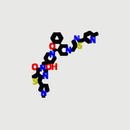 Cc1ccc(-c2ncc(CN3CC[C@@H](C(=O)N4CCC(O)(Cn5cnc6c(-c7ccn(C)c7)scc6c5=O)CC4)[C@H](c4ccccc4)C3)s2)cn1